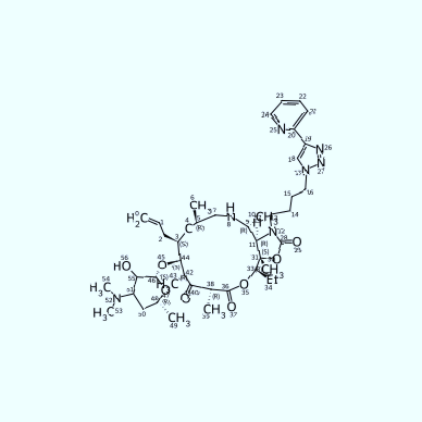 C=CC[C@H]1C[C@@H](C)CN[C@H](C)[C@H]2N(CCCCn3cc(-c4ccccn4)nn3)C(=O)O[C@]2(C)[C@@H](CC)OC(=O)[C@H](C)C(=O)[C@H](C)[C@H]1O[C@@H]1O[C@H](C)CC(N(C)C)C1O